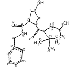 CC(C)NC(C(=O)N1CC(O)CC1C(=O)NCc1ccccc1)C(C)(C)C